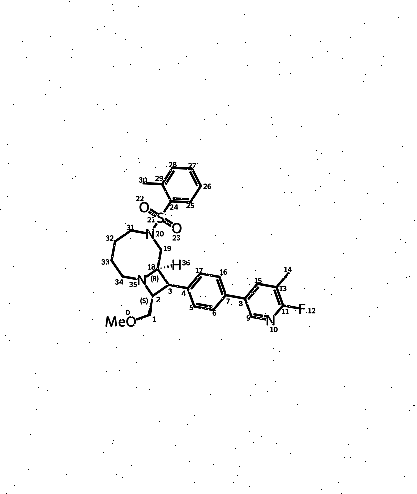 COC[C@@H]1C(c2ccc(-c3cnc(F)c(C)c3)cc2)[C@@H]2CN(S(=O)(=O)c3ccccc3C)CCCCN12